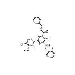 COc1c(Cl)ccc(-c2nc(NCc3ncccc3C)c(Cl)c(C(=O)OCc3ccccc3)n2)c1F